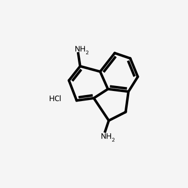 Cl.Nc1ccc2c3c(cccc13)CC2N